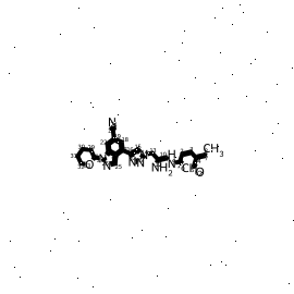 C=C(/C=C\C(C=O)=C/C)N/C=C(\N)Cn1cc(-c2cc(C#N)cc3c2cnn3C2CCCCO2)nn1